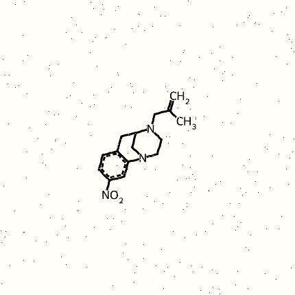 C=C(C)CN1CCN2CC1Cc1ccc([N+](=O)[O-])cc12